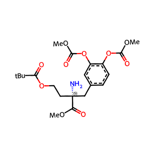 COC(=O)Oc1ccc(C[C@](N)(CCOC(=O)C(C)(C)C)C(=O)OC)cc1OC(=O)OC